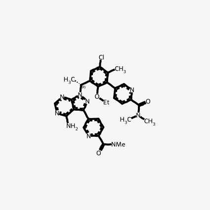 CCOc1c([C@@H](C)n2nc(-c3ccc(C(=O)NC)nc3)c3c(N)ncnc32)cc(Cl)c(C)c1-c1ccc(C(=O)N(C)C)nc1